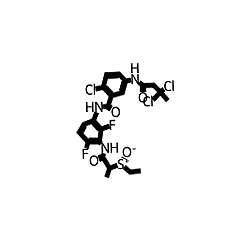 CC[S+]([O-])C(C)C(=O)Nc1c(F)ccc(NC(=O)c2cc(NC(=O)CC(C)(Cl)Cl)ccc2Cl)c1F